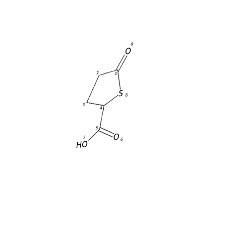 O=C1CCC(C(=O)O)S1